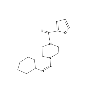 O=C(c1ccco1)N1CCN(/[C]=N\C2CCCCC2)CC1